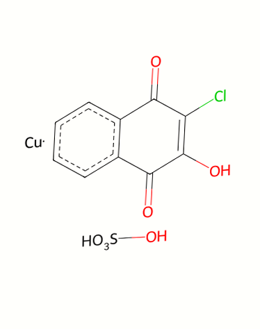 O=C1C(O)=C(Cl)C(=O)c2ccccc21.O=S(=O)(O)O.[Cu]